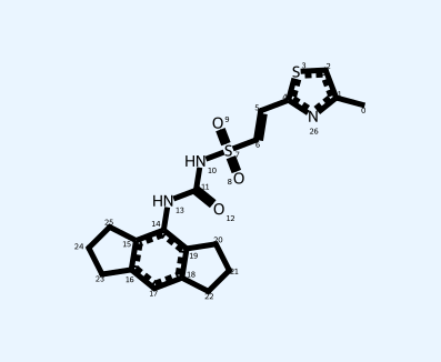 Cc1csc(/C=C/S(=O)(=O)NC(=O)Nc2c3c(cc4c2CCC4)CCC3)n1